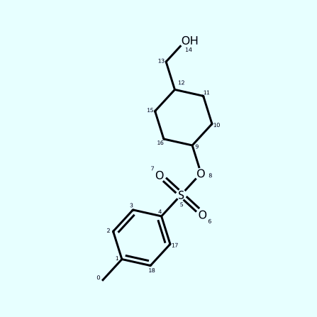 Cc1ccc(S(=O)(=O)OC2CCC(CO)CC2)cc1